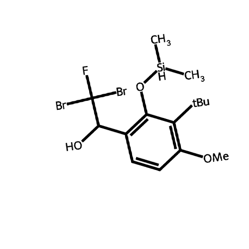 COc1ccc(C(O)C(F)(Br)Br)c(O[SiH](C)C)c1C(C)(C)C